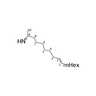 CCCCCCC=CCCCCCCC(C)[NH]